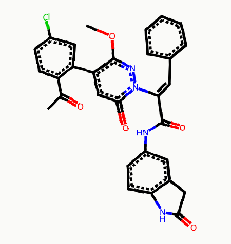 COc1nn(C(=Cc2ccccc2)C(=O)Nc2ccc3c(c2)CC(=O)N3)c(=O)cc1-c1cc(Cl)ccc1C(C)=O